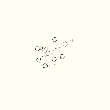 COc1ccc(OCC(O[C@@H]2O[C@H](COCc3ccccc3)[C@@H](OCc3ccccc3)[C@H](OCc3ccccc3)[C@H]2N=[N+]=[N-])C(OCc2ccccc2)C(COC(=O)CCC(C)=O)OCc2ccccc2)cc1